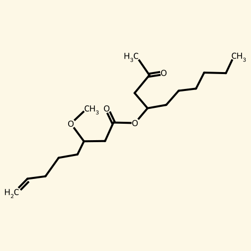 C=CCCCC(CC(=O)OC(CCCCCC)CC(C)=O)OC